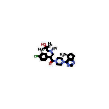 CCCN(C[C@@H](C(=O)N1CCN(c2ncnc3c2[C@H](C)CC3)CC1)c1ccc(Cl)cc1)CC(C)(C)O